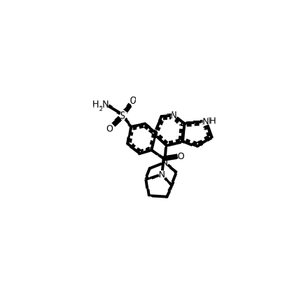 NS(=O)(=O)c1ccc(C(=O)N2C3CCC2CN(c2ncnc4[nH]ccc24)C3)cc1